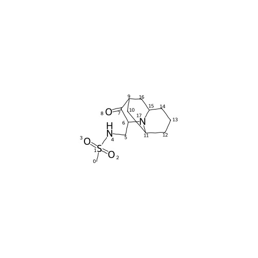 CS(=O)(=O)NCC1C(=O)C2CC3CCCC(C2)N31